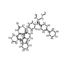 C=C/C=C(\C=C)N(c1ccc(C2=CC=C(C3=C(n4c5ccccc5c5ccccc54)C=CCC3)C=C(C)C2)cc1)c1ccc(-c2ccccc2)cc1